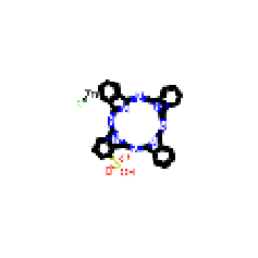 O=S(=O)(O)c1cccc2c3nc4nc(nc5[nH]c(nc6nc(nc([nH]3)c12)-c1ccccc1-6)c1ccccc51)-c1ccccc1-4.[Cl][Zn]